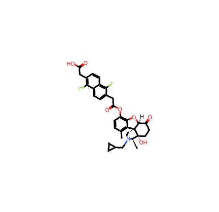 Cc1ccc(OC(=O)Cc2ccc3c(F)c(CC(=O)O)ccc3c2F)c2c1[C@]13CCN(CC4CC4)[C@H](C)[C@]1(O)CCC(=O)[C@@H]3O2